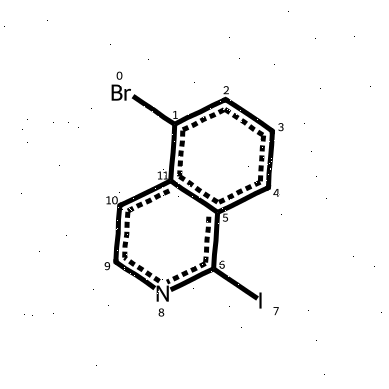 Brc1cccc2c(I)nccc12